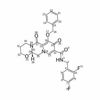 O=C(NCc1ccc(F)cc1F)c1cn2c(c(OCc3ccccc3)c1=O)C(=O)N1CCCO[C@H]1C2